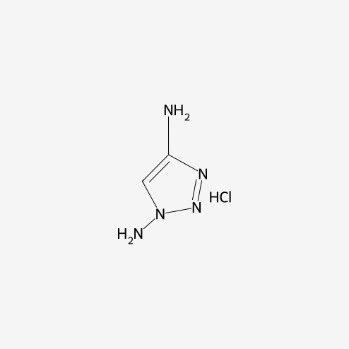 Cl.Nc1cn(N)nn1